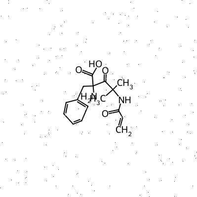 C=CC(=O)NC(C)(C)C(=O)C(N)(Cc1ccccc1)C(=O)O